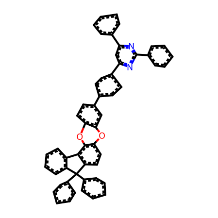 c1ccc(-c2cc(-c3ccc(-c4ccc5c(c4)Oc4ccc6c(c4O5)-c4ccccc4C6(c4ccccc4)c4ccccc4)cc3)nc(-c3ccccc3)n2)cc1